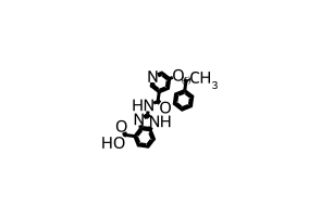 C[C@H](Oc1cncc(C(=O)Nc2nc3c(C(=O)O)cccc3[nH]2)c1)c1ccccc1